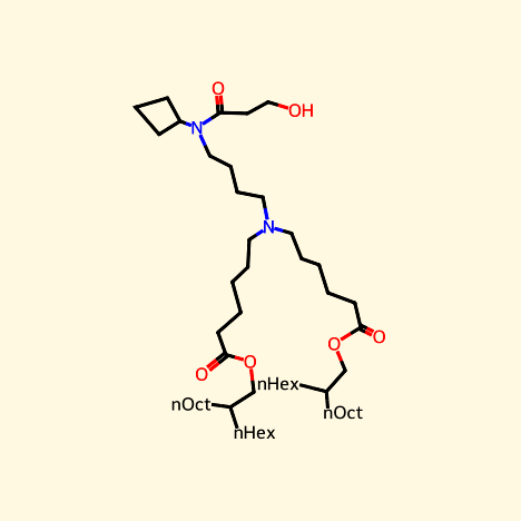 CCCCCCCCC(CCCCCC)COC(=O)CCCCCN(CCCCCC(=O)OCC(CCCCCC)CCCCCCCC)CCCCN(C(=O)CCO)C1CCC1